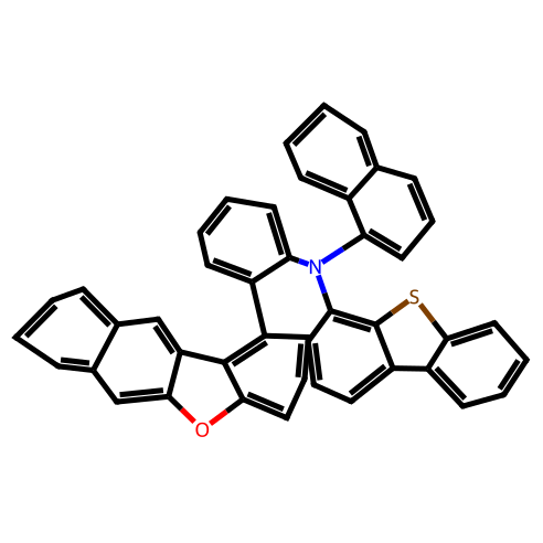 c1ccc(N(c2cccc3ccccc23)c2cccc3c2sc2ccccc23)c(-c2cccc3oc4cc5ccccc5cc4c23)c1